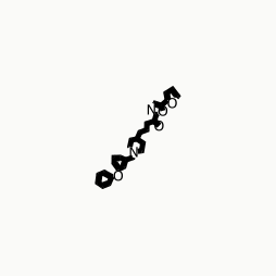 O=C(CCCC1CCN(Cc2cccc(Oc3ccccc3)c2)CC1)c1ncc(-c2ccco2)o1